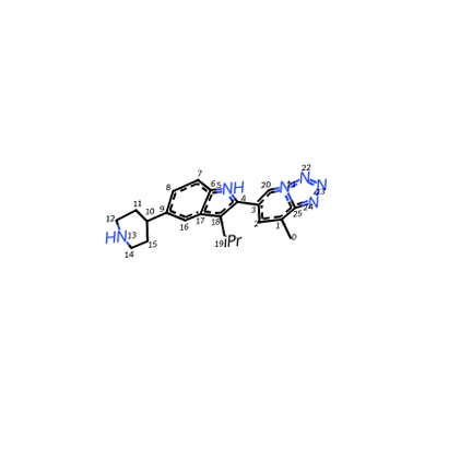 Cc1cc(-c2[nH]c3ccc(C4CCNCC4)cc3c2C(C)C)cn2nnnc12